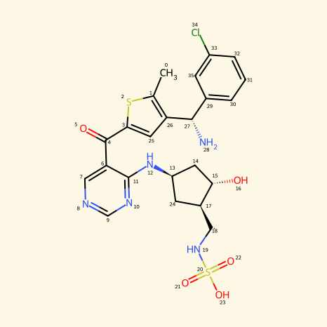 Cc1sc(C(=O)c2cncnc2N[C@H]2C[C@H](O)[C@@H]([CH]NS(=O)(=O)O)C2)cc1[C@@H](N)c1cccc(Cl)c1